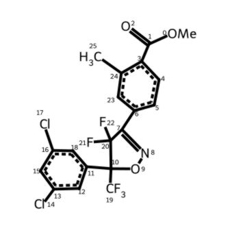 COC(=O)c1ccc(C2=NOC(c3cc(Cl)cc(Cl)c3)(C(F)(F)F)C2(F)F)cc1C